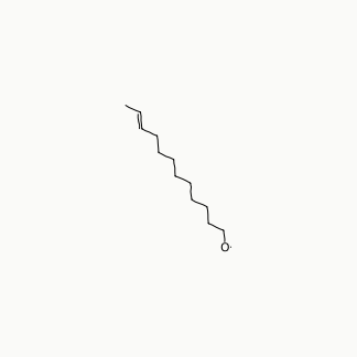 C/C=C/CCCCCCCCC[O]